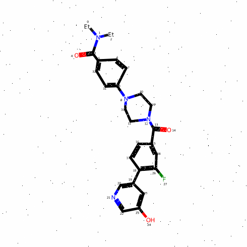 CCN(CC)C(=O)c1ccc(N2CCN(C(=O)c3ccc(-c4cncc(O)c4)c(F)c3)CC2)cc1